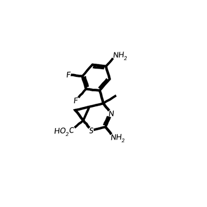 CC1(c2cc(N)cc(F)c2F)N=C(N)SC2(C(=O)O)CC21